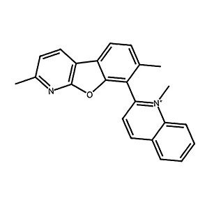 Cc1ccc2c(n1)oc1c(-c3ccc4ccccc4[n+]3C)c(C)ccc12